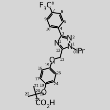 CC(C)n1nc(-c2ccc(C(F)(F)F)cc2)nc1COc1ccc(OC(C)(C)C(=O)O)cc1